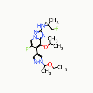 CCOC(C)n1cc(-c2c(F)cn3nc(N[C@@H](C)CF)nc3c2OC(C)C)cn1